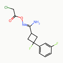 NC(=NOC(=O)CCl)C1CC(F)(c2cccc(F)c2)C1